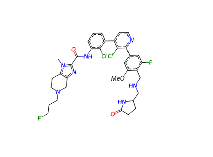 COc1cc(-c2nccc(-c3cccc(NC(=O)c4nc5c(n4C)CCN(CCCF)C5)c3Cl)c2Cl)cc(F)c1CNCC1CCC(=O)N1